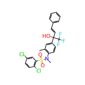 Cc1cc(C(O)(C=Cc2ccccc2)C(F)(F)F)ccc1N(C)S(=O)(=O)c1cc(Cl)ccc1Cl